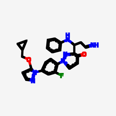 N=CCC(Nc1ccccc1)c1nn(-c2ccc(-n3nccc3OCC3CC3)cc2F)ccc1=O